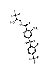 Nc1cc(S(=O)(=O)c2ccc(C(F)(F)F)cc2F)cnc1C(=O)NC[C@@H](O)C(F)(F)F